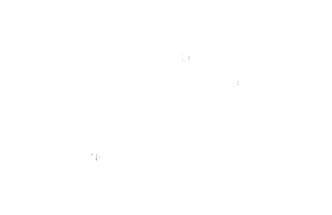 CCC(CC)CCCCC#N